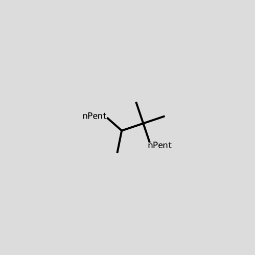 CCCCCC(C)C(C)(C)CCCCC